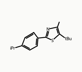 Cc1nc(-c2ccc(C(C)C)cc2)sc1C(C)(C)C